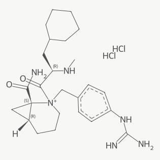 CN[C@H](CC1CCCCC1)C(=O)[N+]1(Cc2ccc(NC(=N)N)cc2)CCC[C@@H]2C[C@@]21C(N)=O.Cl.Cl